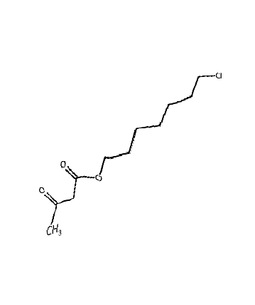 CC(=O)CC(=O)OCCCCCCCCl